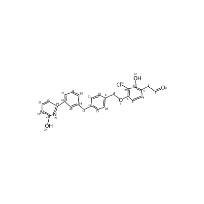 O=CCc1ccc(OCc2ccc(Cc3cccc(-c4ccnc(O)n4)c3)cc2)c(Cl)c1O